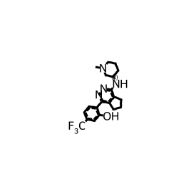 CN1CCC[C@@H](Nc2nnc(-c3ccc(C(F)(F)F)cc3O)c3c2CCC3)C1